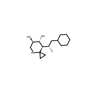 O[C@@H]1[C@@H]([C@@H](F)CC2CCCCC2)C2(CC2)NC[C@H]1O